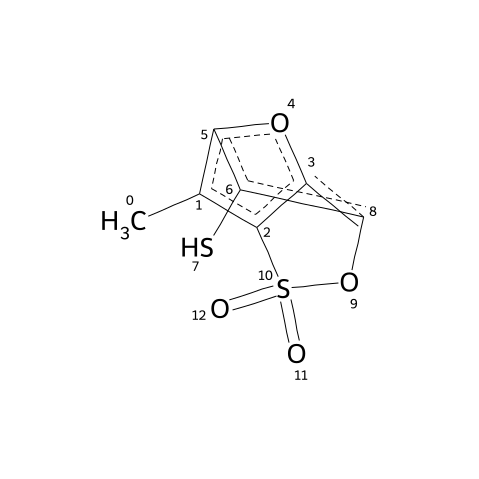 Cc1c2c3oc1c(S)c3OS2(=O)=O